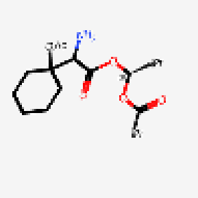 CC(=O)OC1(C(N)C(=O)O[C@H](OC(=O)C(C)C)C(C)C)CCCCC1